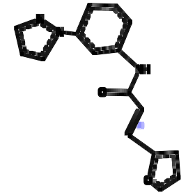 O=C(/C=C/c1ccco1)Nc1cccc(-n2cccn2)c1